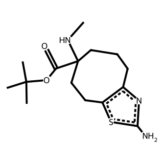 CNC1(C(=O)OC(C)(C)C)CCCc2nc(N)sc2CC1